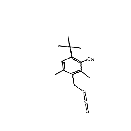 Cc1cc(C(C)(C)C)c(O)c(C)c1CN=C=O